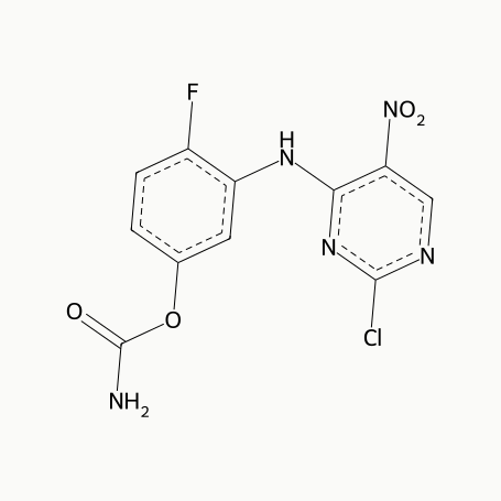 NC(=O)Oc1ccc(F)c(Nc2nc(Cl)ncc2[N+](=O)[O-])c1